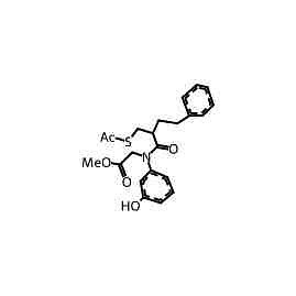 COC(=O)CN(C(=O)C(CCc1ccccc1)CSC(C)=O)c1cccc(O)c1